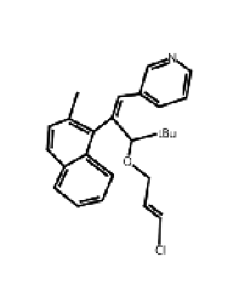 Cc1ccc2ccccc2c1/C(=C/c1cccnc1)C(OC/C=C/Cl)C(C)(C)C